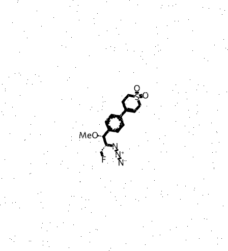 CO[C@H](c1ccc(C2=CCS(=O)(=O)CC2)cc1)[C@@H](CF)N=[N+]=[N-]